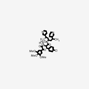 COc1cc(C(=O)C(=O)N(C)C(Cc2ccc(Cl)cc2)C(=O)N(C)C(CC(C)c2cccnc2)CC(C)c2cccnc2)cc(OC)c1OC